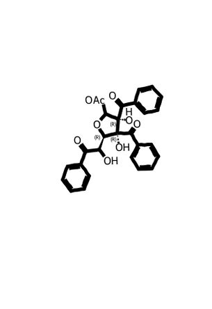 CC(=O)OC1O[C@H](C(O)C(=O)c2ccccc2)[C@](O)(C(=O)c2ccccc2)[C@]1(O)C(=O)c1ccccc1